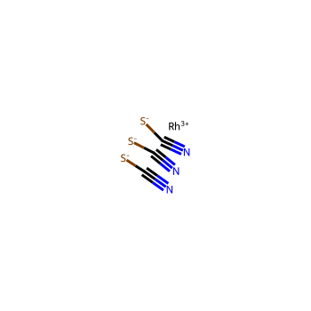 N#C[S-].N#C[S-].N#C[S-].[Rh+3]